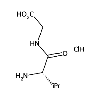 CC(C)[C@H](N)C(=O)NCC(=O)O.Cl